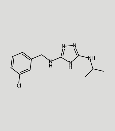 CC(C)Nc1nnc(NCc2cccc(Cl)c2)[nH]1